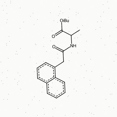 CC(C)COC(=O)C(C)NC(=O)Cc1cccc2ccccc12